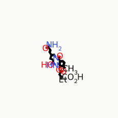 CCC(CC(=O)Oc1c(C)ccc2c1NC(O)C1CC(C=CC(N)=O)=CN1C2=O)C(=O)O